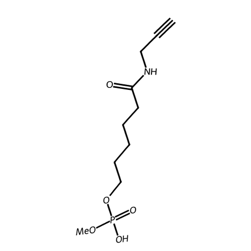 C#CCNC(=O)CCCCCOP(=O)(O)OC